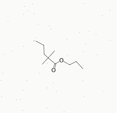 [CH2]CCC(C)(C)C(=O)OCCC